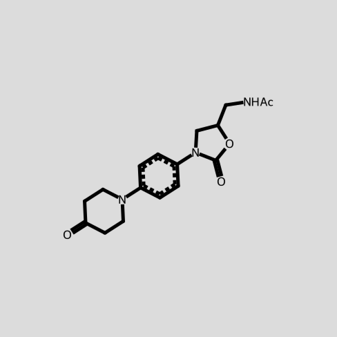 CC(=O)NCC1CN(c2ccc(N3CCC(=O)CC3)cc2)C(=O)O1